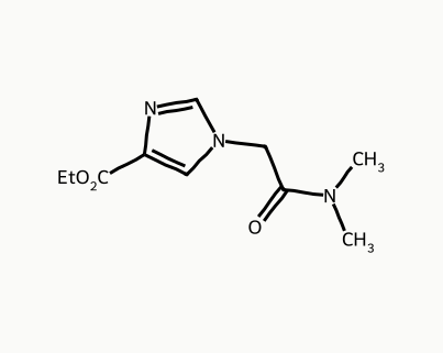 CCOC(=O)c1cn(CC(=O)N(C)C)cn1